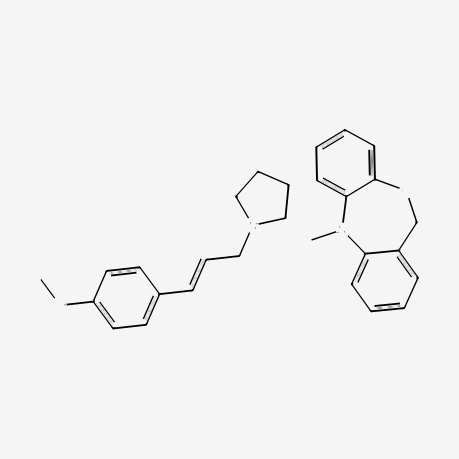 COc1ccc(C=CCN2CCC[C@@H]2CN2c3ccccc3COc3ccccc32)cc1